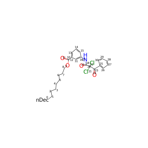 CCCCCCCCCCCCCCCCCCOC(=O)c1cccc(NC(=O)C(Cl)(Cl)C(=O)c2ccccc2)c1